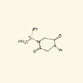 CC(C)[C@@H](C(=O)O)N1CC(=O)N(C(C)C)CC1=O